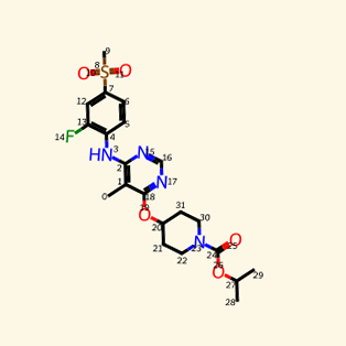 Cc1c(Nc2ccc(S(C)(=O)=O)cc2F)ncnc1OC1CCN(C(=O)OC(C)C)CC1